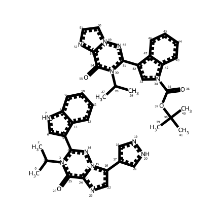 CC(C)n1c(-c2c[nH]c3ccccc23)nn2c(-c3cn[nH]c3)cnc2c1=O.CC(C)n1c(-c2cn(C(=O)OC(C)(C)C)c3ccccc23)nn2ccnc2c1=O